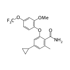 COc1cc(OC(F)(F)F)ccc1Oc1cc(C2CC2)cc(C)c1C(N)=O